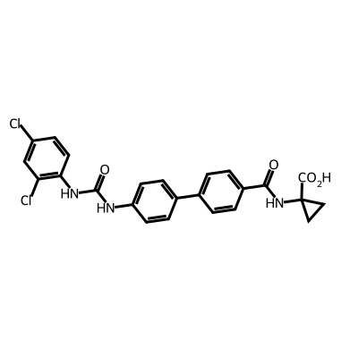 O=C(Nc1ccc(-c2ccc(C(=O)NC3(C(=O)O)CC3)cc2)cc1)Nc1ccc(Cl)cc1Cl